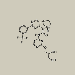 O=C(Nc1ccnc(OCC(O)CO)n1)N1c2nc(-c3cccc(C(F)(F)F)c3)ncc2N2CC[C@H]1C2